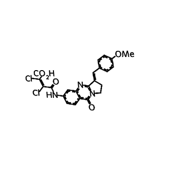 COc1ccc(C=C2CCn3c2nc2cc(NC(=O)/C(Cl)=C(/Cl)C(=O)O)ccc2c3=O)cc1